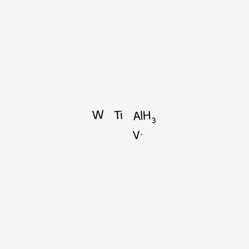 [AlH3].[Ti].[V].[W]